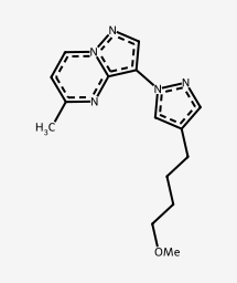 COCCCCc1cnn(-c2cnn3ccc(C)nc23)c1